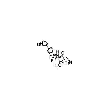 CC(C)C[C@H](N[C@@H](c1ccc(-c2ccc[n+]([O-])c2)cc1)C(F)(F)F)C(=O)NCC#N